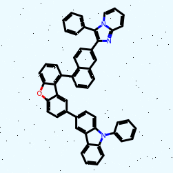 c1ccc(-c2c(-c3ccc4c(-c5cccc6oc7ccc(-c8ccc9c(c8)c8ccccc8n9-c8ccccc8)cc7c56)cccc4c3)nc3ccccn23)cc1